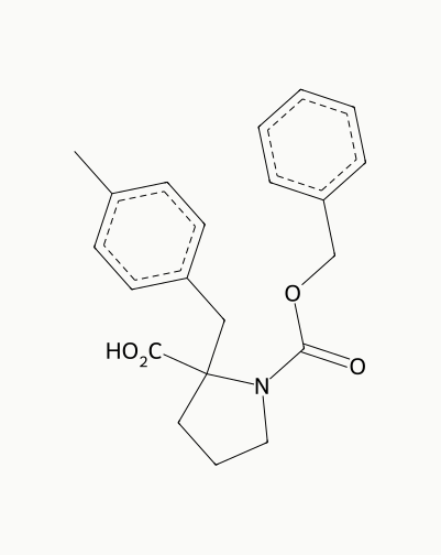 Cc1ccc(CC2(C(=O)O)CCCN2C(=O)OCc2ccccc2)cc1